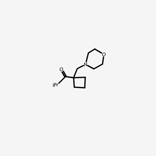 CC(C)C(=O)C1(CN2CCOCC2)CCC1